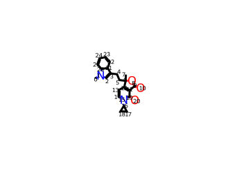 CN1C=C(CCC2(C)OC(=O)c3c2ccn(C2CC2)c3=O)C2C=CC=CC21